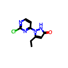 CCc1cc(=O)[nH]n1-c1ccnc(Cl)n1